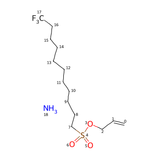 C=CCOS(=O)(=O)CCCCCCCCCCC(F)(F)F.N